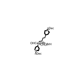 Br.Br.CCCCCCCCCC[n+]1ccc(CCCC[N+](C=O)(C=O)c2cc[n+](CCCCCCCCCC)cc2)cc1